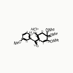 COC1=CC(C(=O)c2cccc(OC)c2)=C(N)CC1(OC)OC.Cl